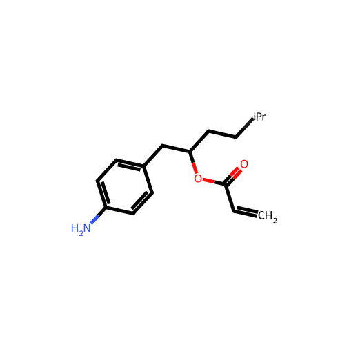 C=CC(=O)OC(CCC(C)C)Cc1ccc(N)cc1